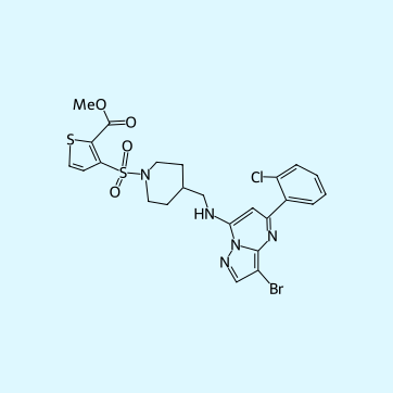 COC(=O)c1sccc1S(=O)(=O)N1CCC(CNc2cc(-c3ccccc3Cl)nc3c(Br)cnn23)CC1